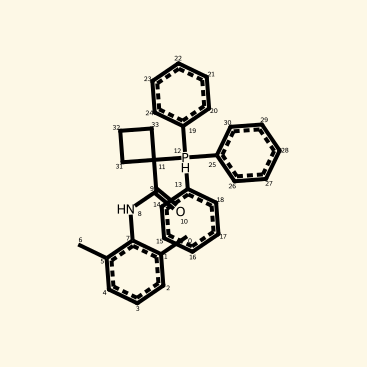 Cc1cccc(C)c1NC(=O)C1([PH](c2ccccc2)(c2ccccc2)c2ccccc2)CCC1